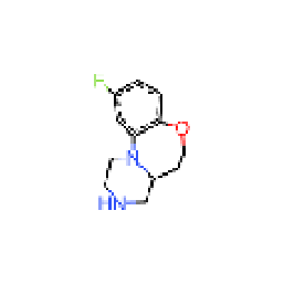 Fc1ccc2c(c1)N1CCNCC1CCO2